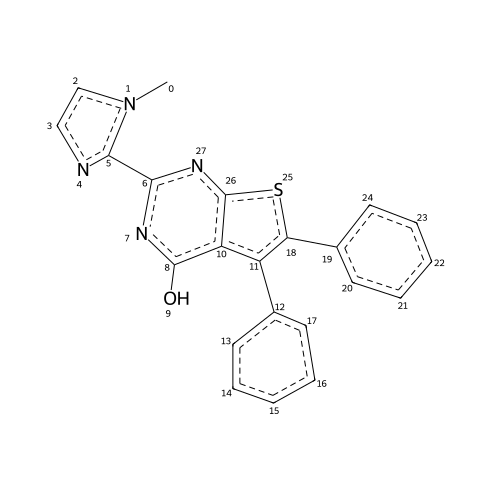 Cn1ccnc1-c1nc(O)c2c(-c3ccccc3)c(-c3ccccc3)sc2n1